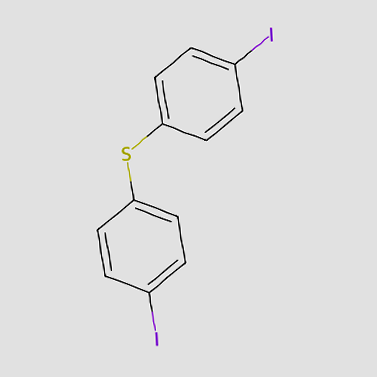 Ic1ccc(Sc2ccc(I)cc2)cc1